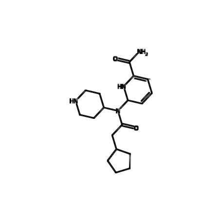 NC(=O)C1=[C]C=CC(N(C(=O)CC2CCCC2)C2CCNCC2)N1